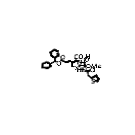 CO[C@@]1(NC(=O)Cc2cccs2)C(=O)N2C(C(=O)O)=C(/C=C/C(=O)OC(c3ccccc3)c3ccccc3)CS[C@@H]21